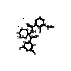 COc1cccc(C(=O)NC2(C(=O)c3cc(C)cc(C)c3)CCCNC2)c1C